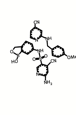 COc1ccc(CNc2cc(C#N)ccn2)cc1.N#Cc1cc(N)ncc1S(=O)(=O)Nc1ccc2c(c1)B(O)OC2